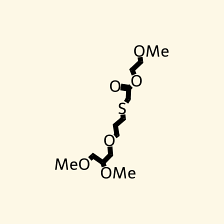 COCCOC(=O)CSCCCOCC(COC)OC